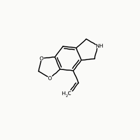 C=Cc1c2c(cc3c1OCO3)CNC2